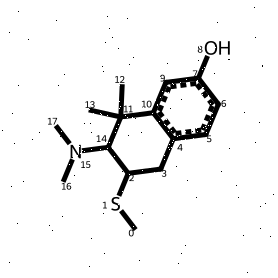 CSC1Cc2ccc(O)cc2C(C)(C)C1N(C)C